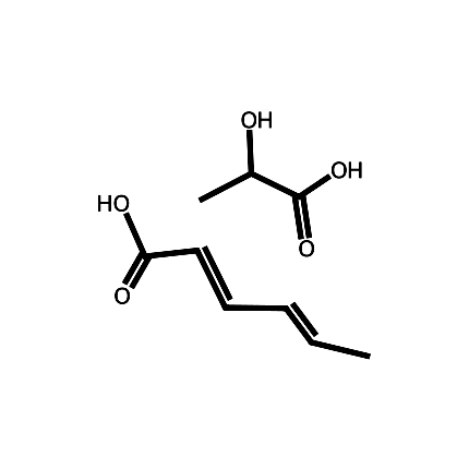 CC(O)C(=O)O.CC=CC=CC(=O)O